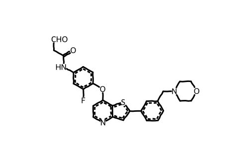 O=CCC(=O)Nc1ccc(Oc2ccnc3cc(-c4cccc(CN5CCOCC5)c4)sc23)c(F)c1